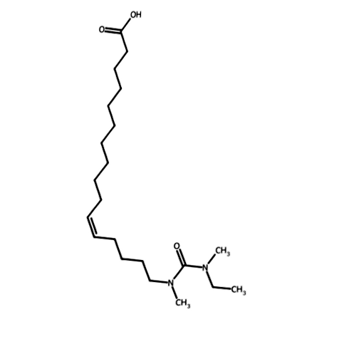 CCN(C)C(=O)N(C)CCCC/C=C\CCCCCCCCCC(=O)O